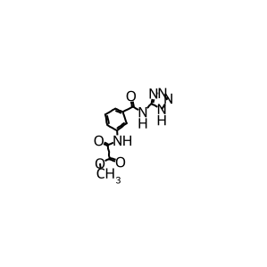 COC(=O)C(=O)Nc1cccc(C(=O)Nc2nnn[nH]2)c1